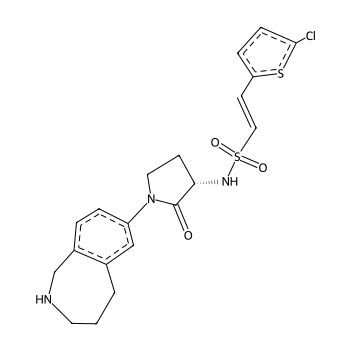 O=C1[C@@H](NS(=O)(=O)C=Cc2ccc(Cl)s2)CCN1c1ccc2c(c1)CCCNC2